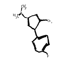 CC1C[C@H](N(C)C)CC1c1ccc(F)cc1